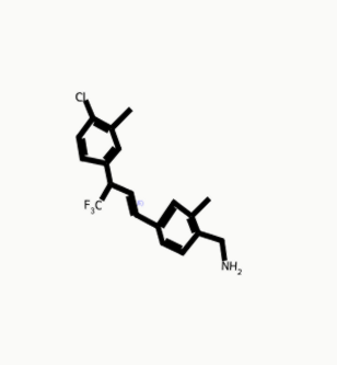 Cc1cc(C(/C=C/c2ccc(CN)c(C)c2)C(F)(F)F)ccc1Cl